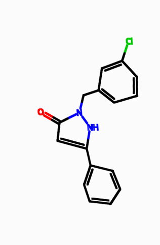 O=c1cc(-c2ccccc2)[nH]n1Cc1cccc(Cl)c1